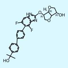 CC(C)(O)c1ccc(-c2ccc(-c3c(F)cc4[nH]c(O[C@@H]5COC6[C@H](O)CO[C@@H]65)nc4c3F)cc2)cc1